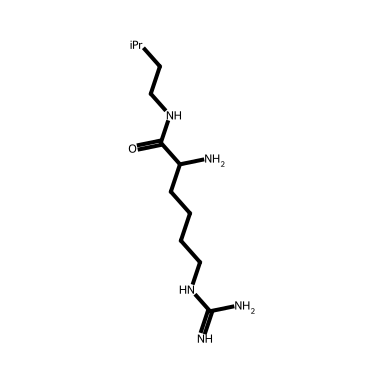 CC(C)CCNC(=O)C(N)CCCCNC(=N)N